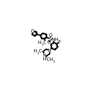 Cc1cc(-c2ccoc2)ccc1S(=O)(=O)Nc1cc(N2C[C@@H](C)N[C@@H](C)C2)ccc1F